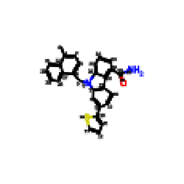 Cc1ccc(Cn2c3cc(-c4cccs4)c[c]c3c3c(C(N)=O)cccc32)c2ccccc12